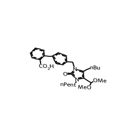 CCCCCn1c(C(OC)OC)c(CCCC)n(Cc2ccc(-c3ccccc3C(=O)O)cc2)c1=O